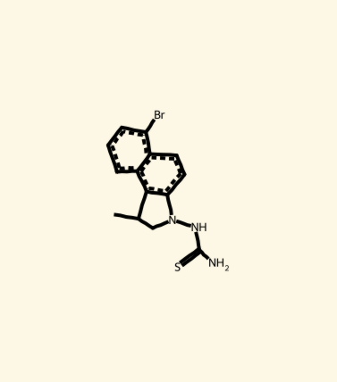 CC1CN(NC(N)=S)c2ccc3c(Br)cccc3c21